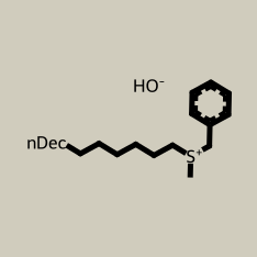 CCCCCCCCCCCCCCCC[S+](C)Cc1ccccc1.[OH-]